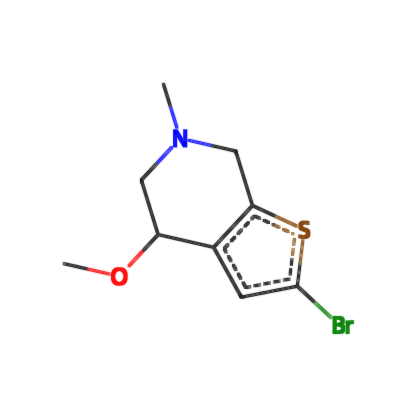 COC1CN(C)Cc2sc(Br)cc21